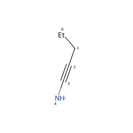 CCCC#C[NH]